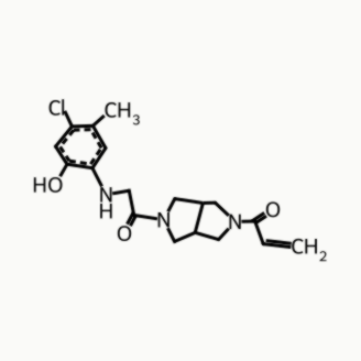 C=CC(=O)N1CC2CN(C(=O)CNc3cc(C)c(Cl)cc3O)CC2C1